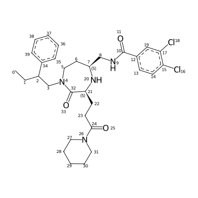 CCC(CN1CC[C@@H](CNC(=O)c2ccc(Cl)c(Cl)c2)N[C@@H](CCC(=O)N2CCCCC2)C1=O)c1ccccc1